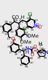 COc1ccc(C(Cc2c(Cl)c[n+]([O-])cc2Cl)C(C(=O)O)c2cccc(COc3cccc([C@@H](NC(=O)O[C@H]4CN5CCC4CC5)c4ccccc4)c3)c2)cc1OC